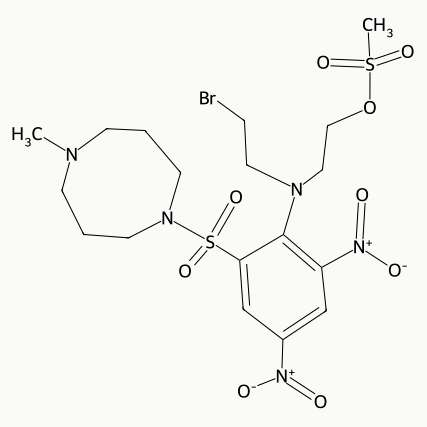 CN1CCCN(S(=O)(=O)c2cc([N+](=O)[O-])cc([N+](=O)[O-])c2N(CCBr)CCOS(C)(=O)=O)CCC1